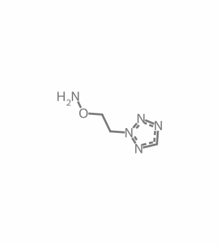 NOCCn1ncnn1